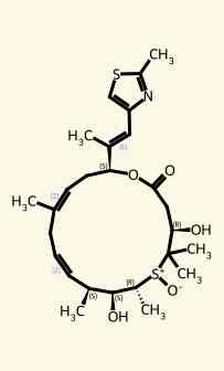 C/C1=C/C[C@@H](/C(C)=C/c2csc(C)n2)OC(=O)C[C@@H](O)C(C)(C)[S+]([O-])[C@H](C)[C@@H](O)[C@@H](C)/C=C\C1